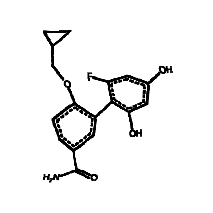 NC(=O)c1ccc(OCC2CC2)c(-c2c(O)cc(O)cc2F)c1